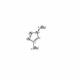 CCC(C)c1cn([C@H](C)CC)nn1